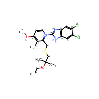 CCOC(C)(C)CSCc1c(C)c(OC)cc[n+]1-c1nc2cc(Cl)c(Cl)cc2[nH]1